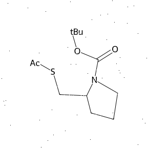 CC(=O)SCC1CCCN1C(=O)OC(C)(C)C